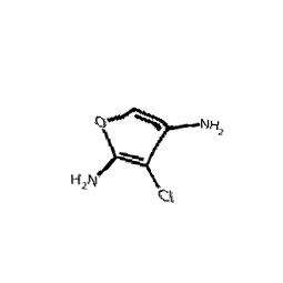 Nc1coc(N)c1Cl